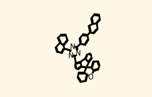 c1ccc2c(c1)Oc1ccccc1C21c2ccccc2-c2c(-c3nc(-c4ccc(-c5ccc6ccccc6c5)cc4)nc(-c4cccc5ccccc45)n3)cccc21